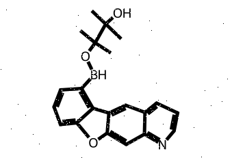 CC(C)(O)C(C)(C)OBc1cccc2oc3cc4ncccc4cc3c12